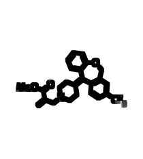 C=C(CN1CCC(=C2c3ccc(C(F)(F)F)cc3COc3ccccc32)CC1)C(=O)OC